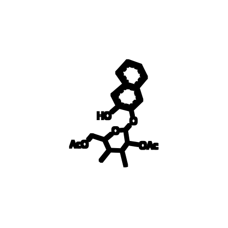 CC(=O)OCC1OC(Oc2cc3ccccc3cc2O)C(OC(C)=O)C(C)C1C